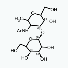 CC(=O)NC1C(C)OC(CO)[C@H](O)[C@@H]1O[C@@H]1OC(CO)[C@H](O)[C@H](O)C1O